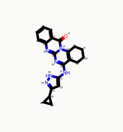 O=c1c2ccccc2nc2nc(Nc3cc(C4CC4)n[nH]3)c3c(n12)CCCC3